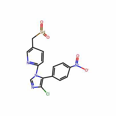 O=[N+]([O-])c1ccc(-c2c(Cl)ncn2-c2ccc(C[SH](=O)=O)cn2)cc1